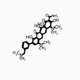 CN(C)Cc1cccc(-c2cc(N(C)C)c3c(c2O)C(=O)C2=C(O)C4(O)C(=O)C(C(N)=O)=C(O)C(N(C)C)C4CC2C3)c1